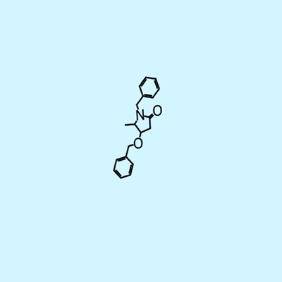 CC1C(OCc2ccccc2)CC(=O)N1Cc1ccccc1